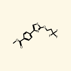 COC(=O)c1ccc(-c2csc(OCCC(F)(F)F)n2)cc1